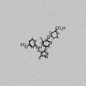 CCOc1ccnc(NCc2c(-c3cnc(O[C@H]4CCC[C@H](C(=O)O)C4)c(C)n3)nnn2C)n1